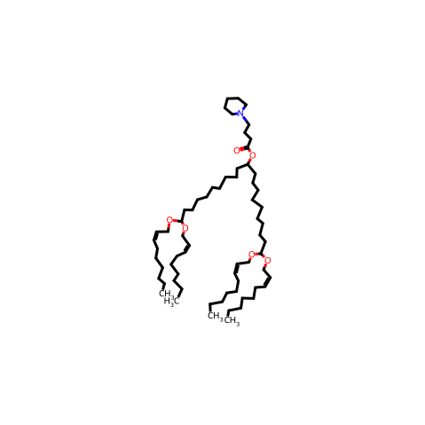 CCCCCC/C=C\COC(CCCCCCCCCC(CCCCCCCCCC(OC/C=C\CCCCCC)OC/C=C\CCCCCC)OC(=O)CCCN1CCCCC1)OC/C=C\CCCCCC